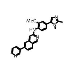 COc1cc(-c2cnc(C)n2C)ccc1Nc1cc2cc(-c3cc[c]nc3)ccc2cn1